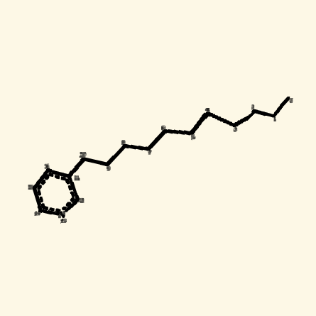 CCCCCCCCCCCc1[c]nccc1